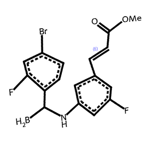 BC(Nc1cc(F)cc(/C=C/C(=O)OC)c1)c1ccc(Br)cc1F